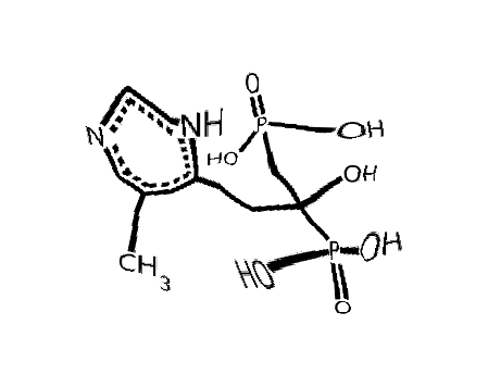 Cc1nc[nH]c1CC(O)(P(=O)(O)O)P(=O)(O)O